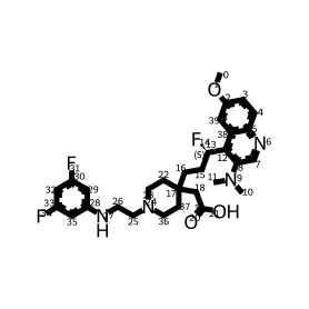 COc1ccc2ncc(N(C)C)c([C@@H](F)CCC3(CC(=O)O)CCN(CCNc4cc(F)cc(F)c4)CC3)c2c1